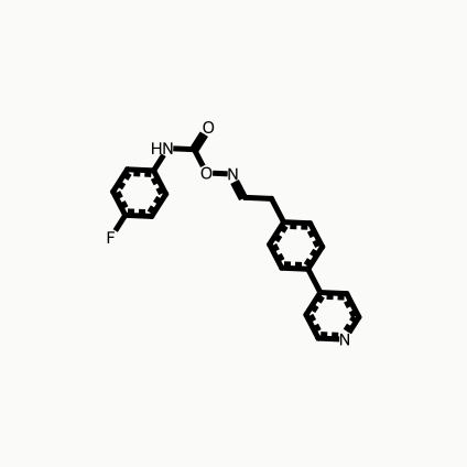 O=C(Nc1ccc(F)cc1)ON=CCc1ccc(-c2ccncc2)cc1